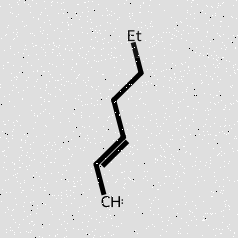 [CH]C=CCCCC